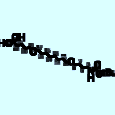 CC(C)(C)OC(=O)NCCCCOCCCCCCCCOCCCCC(O)O